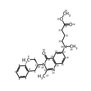 CC[C@H](Cc1ccccc1)n1c(C)nc2ccc(N(C)CCCC(=O)OC)cc2c1=O